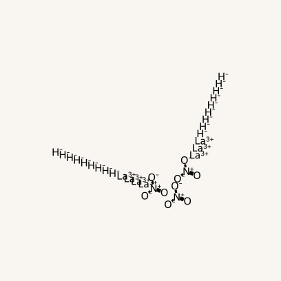 O=[N+]([O-])[O-].O=[N+]([O-])[O-].O=[N+]([O-])[O-].[H-].[H-].[H-].[H-].[H-].[H-].[H-].[H-].[H-].[H-].[H-].[H-].[H-].[H-].[H-].[H-].[H-].[H-].[La+3].[La+3].[La+3].[La+3].[La+3].[La+3].[La+3]